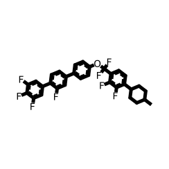 CC1CCC(c2ccc(C(F)(F)Oc3ccc(-c4ccc(-c5cc(F)c(F)c(F)c5)c(F)c4)cc3)c(F)c2F)CC1